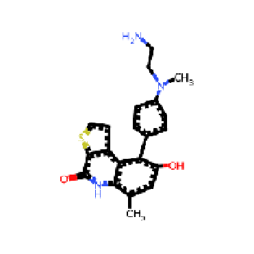 Cc1cc(O)c(-c2ccc(N(C)CCN)cc2)c2c1[nH]c(=O)c1sccc12